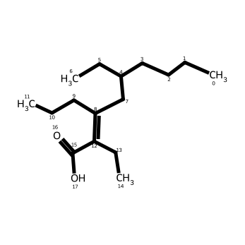 CCCCC(CC)CC(CCC)=C(CC)C(=O)O